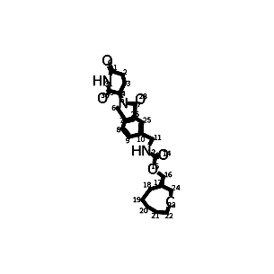 O=C1CCC(N2Cc3ccc(CNC(=O)OCC4CCCCCCC4)cc3C2=O)C(=O)N1